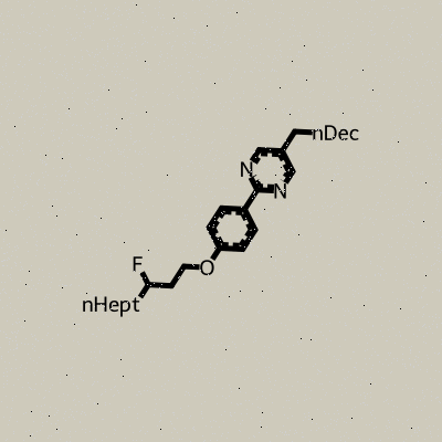 CCCCCCCCCCCc1cnc(-c2ccc(OCCC(F)CCCCCCC)cc2)nc1